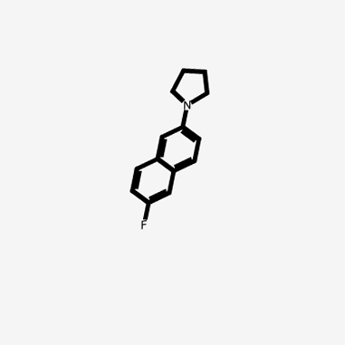 Fc1ccc2cc(N3CCCC3)ccc2c1